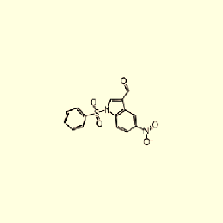 O=Cc1cn(S(=O)(=O)c2ccccc2)c2ccc([N+](=O)[O-])cc12